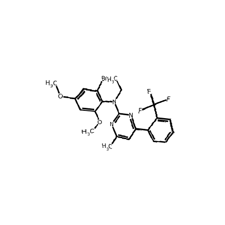 CCN(c1nc(C)cc(-c2ccccc2C(F)(F)F)n1)c1c(Br)cc(OC)cc1OC